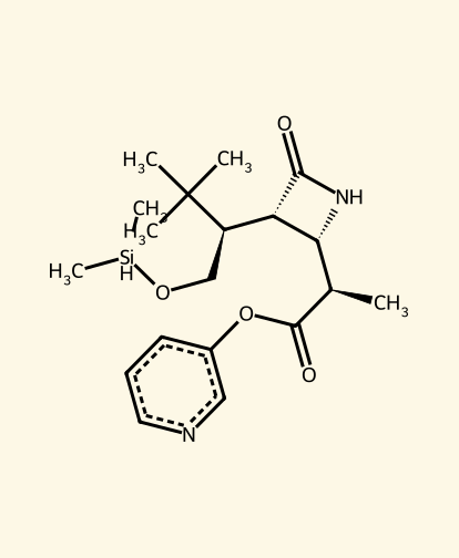 C[C@@H](C(=O)Oc1cccnc1)[C@H]1NC(=O)[C@H]1[C@@H](CO[SiH](C)C)C(C)(C)C